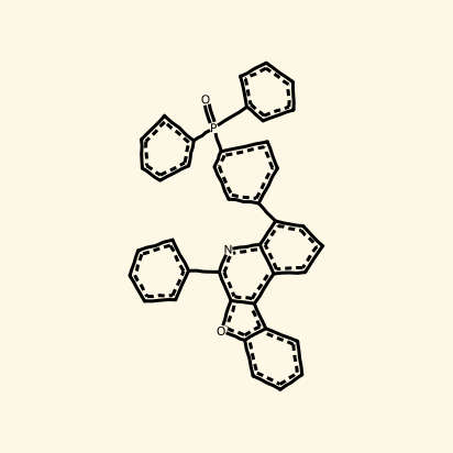 O=P(c1ccccc1)(c1ccccc1)c1ccc(-c2cccc3c2nc(-c2ccccc2)c2oc4ccccc4c23)cc1